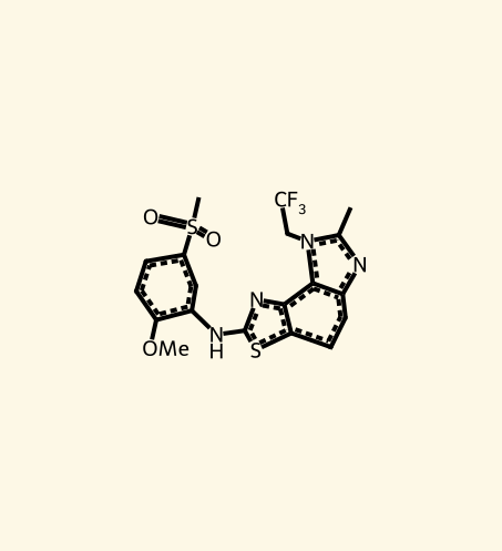 COc1ccc(S(C)(=O)=O)cc1Nc1nc2c(ccc3nc(C)n(CC(F)(F)F)c32)s1